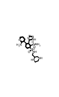 Nc1ncccc1-c1ccc(S(=O)(=O)NCC2CNCCN2)c(S(N)(=O)=O)c1-c1nnn[nH]1